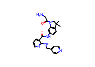 CC1(C)CN(C(=O)CN)c2cc(NC(=O)c3cccnc3NCc3ccncc3)ccc21